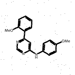 COc1[c]cc(Nc2cc(-c3ccccc3OC)ncn2)cc1